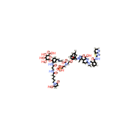 Cc1c(-c2ccc(N3CCc4cccc(C(=O)Nc5nc6ncccc6s5)c4C3)nc2C(=O)O)cnn1CC12CC3(C)CC(C)(C1)CC(OCCN(CCCP(=O)(O)O)C(=O)OC/C=C/c1ccc(O[C@@H]4O[C@H](C(=O)O)[C@@H](O)[C@H](O)[C@H]4O)c(NC(=O)CCNC(=O)CCCCCN4C(=O)C=CC4O)c1)(C3)C2